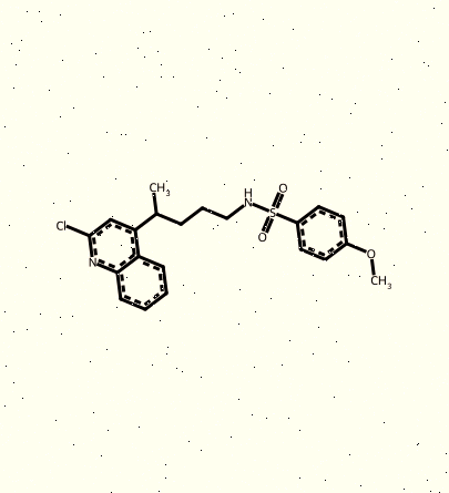 COc1ccc(S(=O)(=O)NCCCC(C)c2cc(Cl)nc3ccccc23)cc1